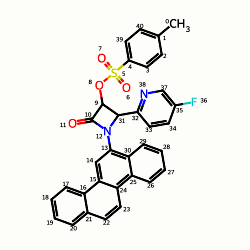 Cc1ccc(S(=O)(=O)OC2C(=O)N(c3cc4c5ccccc5ccc4c4ccccc34)C2c2ccc(F)cn2)cc1